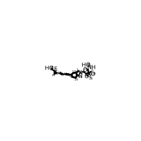 CC(CCn1cc2cc(C#CC#C[C@H]3C[C@]3(F)CO)ccc2n1)(C(=O)NO)S(C)(=O)=O